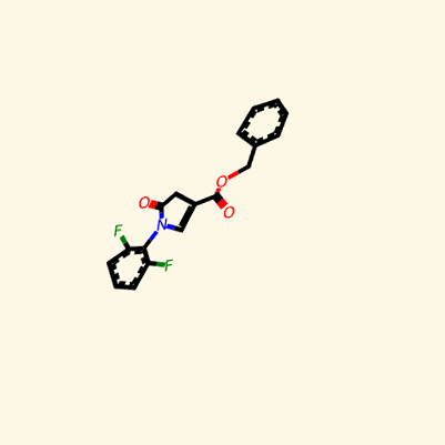 O=C(OCc1ccccc1)C1=CN(c2c(F)cccc2F)C(=O)C1